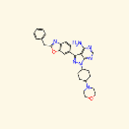 Nc1ncnc2c1c(-c1ccc3nc(Cc4ccccc4)oc3c1)nn2C1CCC(N2CCOCC2)CC1